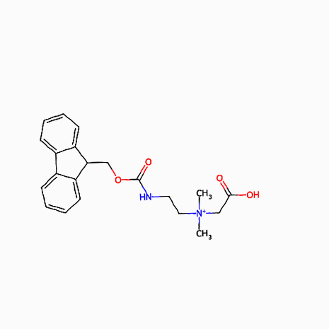 C[N+](C)(CCNC(=O)OCC1c2ccccc2-c2ccccc21)CC(=O)O